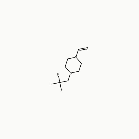 O=CN1CCN(CC(F)(F)F)CC1